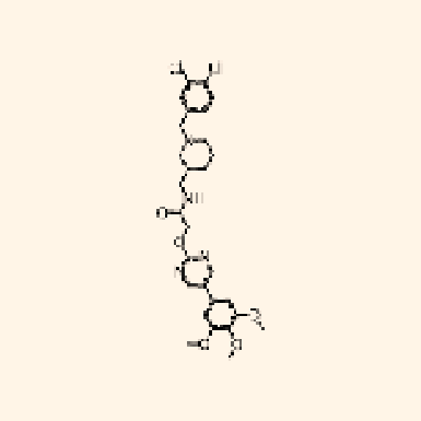 COc1cc(-c2cnc(OCC(=O)NCC3CCCN(Cc4ccc(Cl)c(Cl)c4)C3)nc2)cc(OC)c1OC